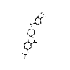 CC(C)Oc1ccc2c(c1)C(=O)NC1(CCN(C(=O)c3ccc4[nH]nnc4c3)CC1)O2